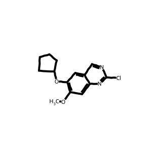 COc1cc2nc(Cl)ncc2cc1OC1CCCC1